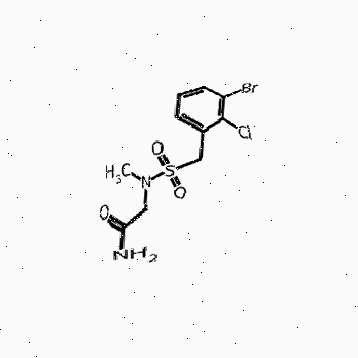 CN(CC(N)=O)S(=O)(=O)Cc1cccc(Br)c1Cl